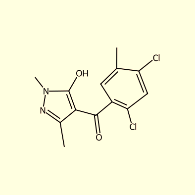 Cc1cc(C(=O)c2c(C)nn(C)c2O)c(Cl)cc1Cl